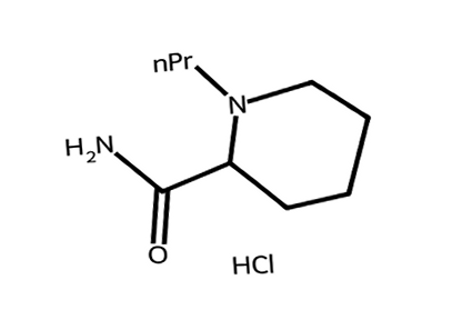 CCCN1CCCCC1C(N)=O.Cl